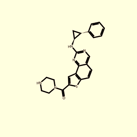 O=C(c1cc2c(ccc3cnc(N[C@H]4C[C@@H]4c4ccccc4)nc32)s1)N1CCNCC1